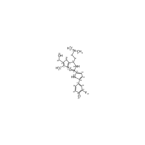 Cc1nc(C(CCN(C)C)NC(=O)c2ccc(-c3ccc(Cl)c(F)c3)[nH]2)sc1CO